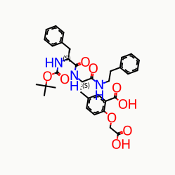 CC(C)(C)OC(=O)N[C@@H](Cc1ccccc1)C(=O)N[C@@H](Cc1ccc(OCC(=O)O)c(C(=O)O)c1)C(=O)NCCc1ccccc1